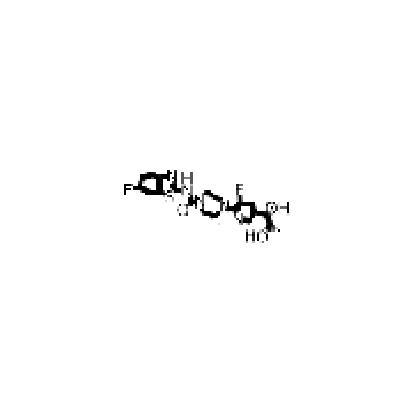 C[C@H](O)[C@@H](O)c1cnc(N2CCN(C(=O)Nc3nc4ccc(F)cc4s3)C[C@H]2C)c(F)c1